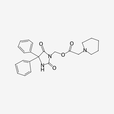 O=C(CN1CCCCC1)OCN1C(=O)NC(c2ccccc2)(c2ccccc2)C1=O